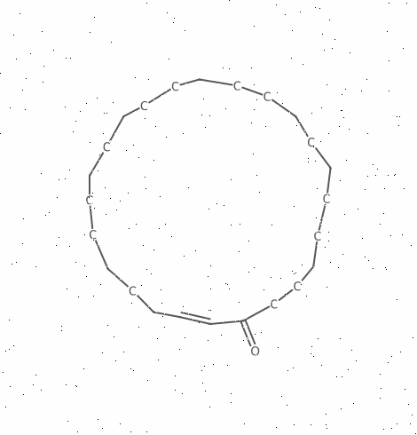 O=C1C=CCCCCCCCCCCCCCCCCCCCCC1